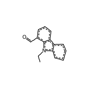 CCn1c2ccccc2c2cccc(C=O)c21